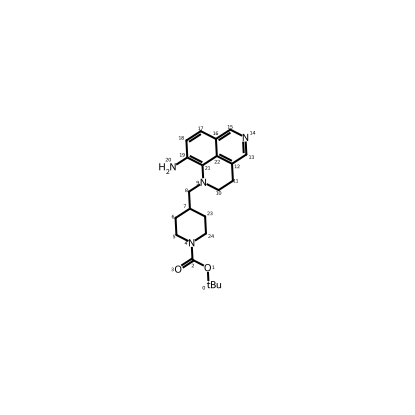 CC(C)(C)OC(=O)N1CCC(CN2CCc3cncc4ccc(N)c2c34)CC1